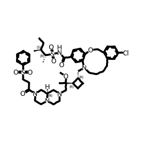 CC[C@H](C)[C@@H](C)S(=O)(=O)NC(=O)c1ccc2c(c1)N(C[C@@H]1CC[C@H]1C(C)(CN1CCN3CCN(C(=O)CCS(=O)(=O)c4ccccc4)C[C@H]3C1)OC)CCCCc1cc(Cl)ccc1CO2